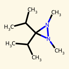 CC(C)C1(C(C)C)N(C)N1C